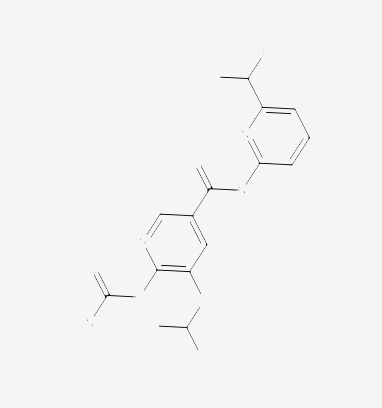 NC(=O)Oc1ncc(C(=O)Nc2cccc(C(F)F)n2)cc1OC(F)F